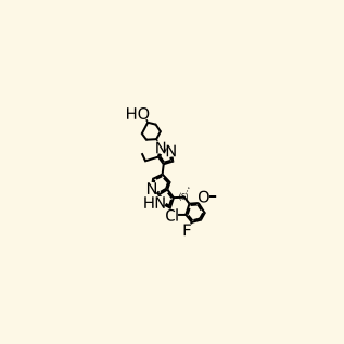 CCc1c(-c2cnc3[nH]cc([C@H](C)c4c(OC)ccc(F)c4Cl)c3c2)cnn1[C@H]1CC[C@H](O)CC1